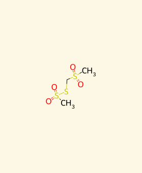 CS(=O)(=O)CSS(C)(=O)=O